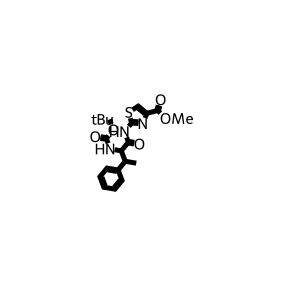 COC(=O)c1csc(NC(=O)C(NC(=O)OC(C)(C)C)C(C)c2ccccc2)n1